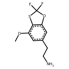 COc1cc(CCN)cc2c1SC(F)(F)O2